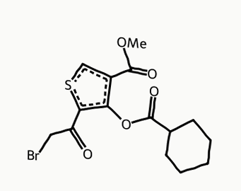 COC(=O)c1csc(C(=O)CBr)c1OC(=O)C1CCCCC1